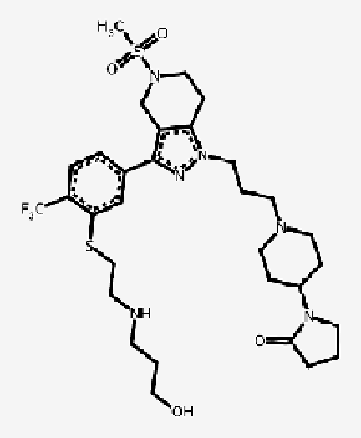 CS(=O)(=O)N1CCc2c(c(-c3ccc(C(F)(F)F)c(SCCNCCCO)c3)nn2CCCN2CCC(N3CCCC3=O)CC2)C1